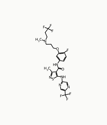 Cc1nsc(Nc2cnc(C(F)(F)F)cn2)c1C(=O)Nc1ccc(F)c(OCCCN(C)CCC(F)(F)F)c1